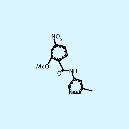 COc1cc([N+](=O)[O-])ccc1C(=O)Nc1cncc(C)c1